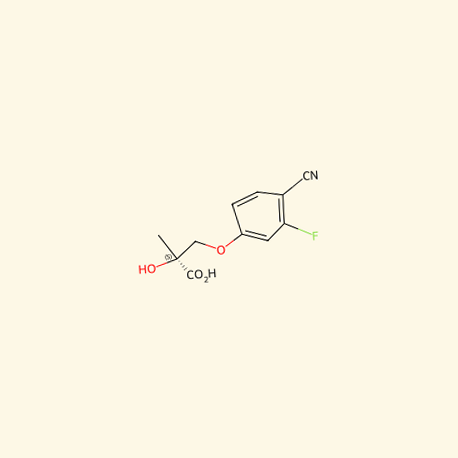 C[C@](O)(COc1ccc(C#N)c(F)c1)C(=O)O